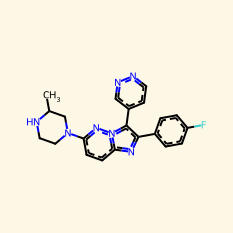 CC1CN(c2ccc3nc(-c4ccc(F)cc4)c(-c4ccnnc4)n3n2)CCN1